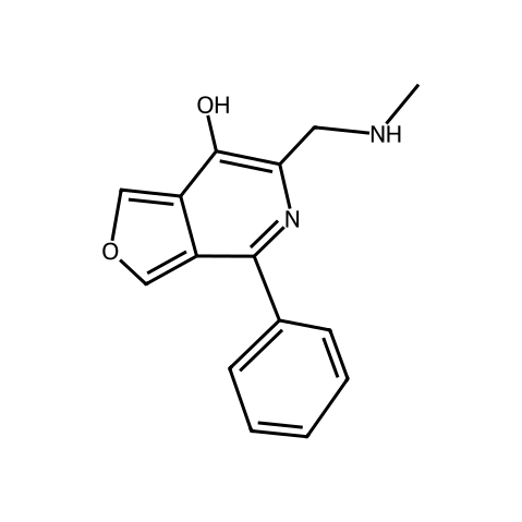 CNCc1nc(-c2ccccc2)c2cocc2c1O